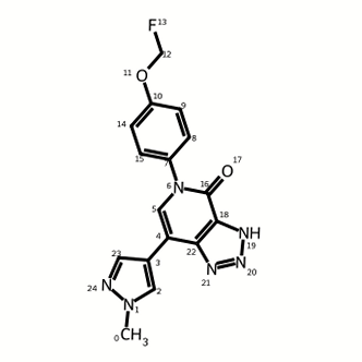 Cn1cc(-c2cn(-c3ccc(OCF)cc3)c(=O)c3[nH]nnc23)cn1